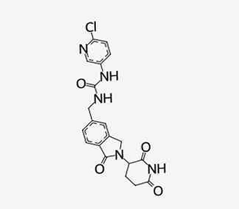 O=C1CCC(N2Cc3cc(CNC(=O)Nc4ccc(Cl)nc4)ccc3C2=O)C(=O)N1